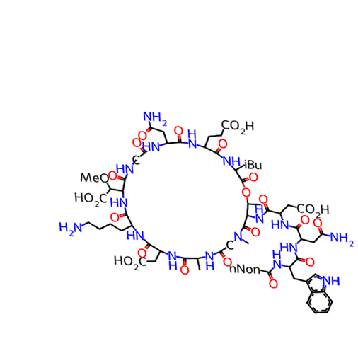 CCCCCCCCCC(=O)NC(Cc1c[nH]c2ccccc12)C(=O)NC(CC(N)=O)C(=O)NC(CC(=O)O)C(=O)NC1C(=O)N(C)CC(=O)NC(C)C(=O)NC(CC(=O)O)C(=O)NC(CCCCN)C(=O)NC(C(OC)C(=O)O)C(=O)NCC(=O)NC(CC(N)=O)C(=O)NC(CCC(=O)O)C(=O)NC(C(C)CC)C(=O)OC1C